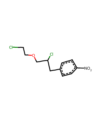 O=[N+]([O-])c1ccc(CC(Cl)COCCCl)cc1